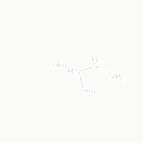 CCCC[SiH](CCCC)[SiH2][SiH3]